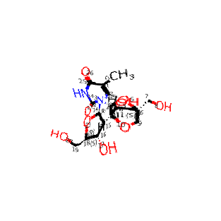 CC1=C[N+]([C@@H]2O[C@@]3(CO)CO[C@@H]2[C@@H]3O)([C@H]2C[C@H](O)[C@@H](CO)O2)C(=O)NC1=O